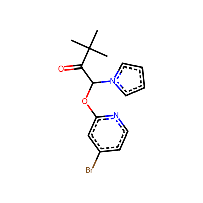 CC(C)(C)C(=O)C(Oc1cc(Br)ccn1)n1cccc1